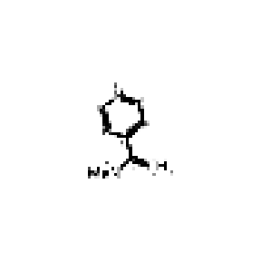 C=C(NC)c1ccncc1